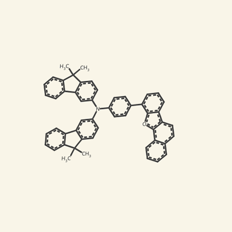 CC1(C)c2ccccc2-c2cc(N(c3ccc(-c4cccc5c4oc4c6ccccc6ccc54)cc3)c3ccc4c(c3)-c3ccccc3C4(C)C)ccc21